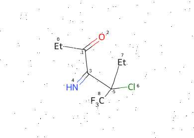 CCC(=O)C(=N)C(Cl)(CC)C(F)(F)F